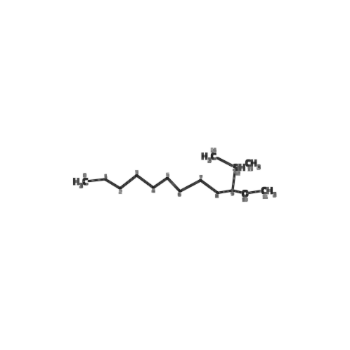 CCCCCCCCCC(OC)[SiH](C)C